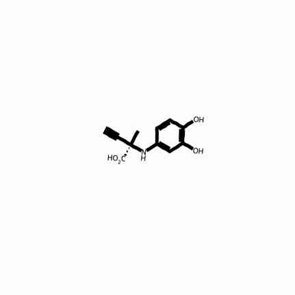 C#C[C@@](C)(Nc1ccc(O)c(O)c1)C(=O)O